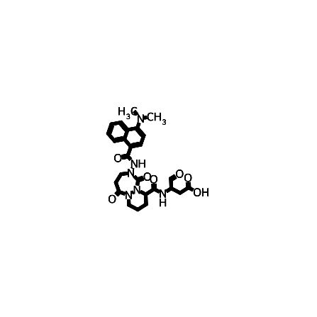 CN(C)c1ccc(C(=O)NN2CCC(=O)N3CCCC(C(=O)NC(C=O)CC(=O)O)N3C2=O)c2ccccc12